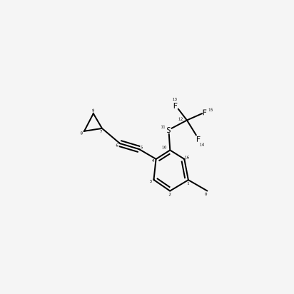 Cc1ccc(C#CC2CC2)c(SC(F)(F)F)c1